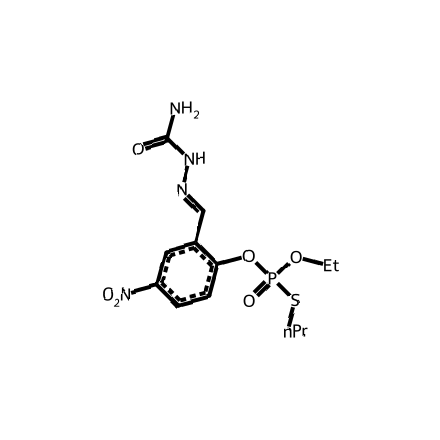 CCCSP(=O)(OCC)Oc1ccc([N+](=O)[O-])cc1C=NNC(N)=O